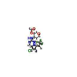 CC(=O)OC1COCCC1Nc1ncc2c(Cl)c(I)c(C(C)C(F)(F)F)n2n1